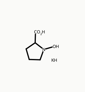 O=C(O)C1CCCN1O.[KH]